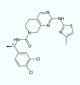 Cc1csc(Nc2ncc3c(n2)CN(C(=O)N[C@H](C)c2ccc(Cl)c(Cl)c2)CC3)n1